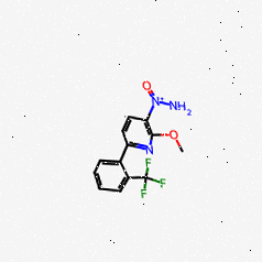 COc1nc(-c2ccccc2C(F)(F)F)c[c]c1[N+](N)=O